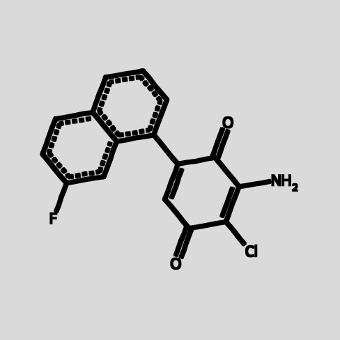 NC1=C(Cl)C(=O)C=C(c2cccc3ccc(F)cc23)C1=O